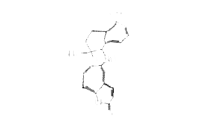 COc1cccc2c1CCC(O)(C(F)(F)F)C2Nc1cccc2[nH]c(=O)ccc12